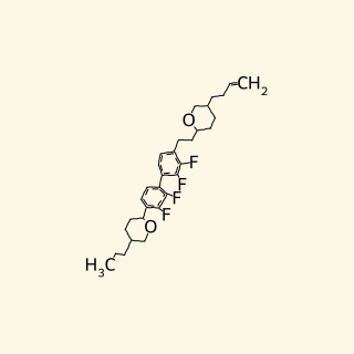 C=CCCC1CCC(CCc2ccc(-c3ccc(C4CCC(CCC)CO4)c(F)c3F)c(F)c2F)OC1